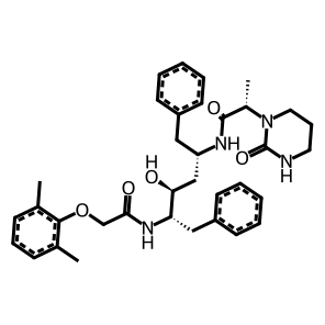 Cc1cccc(C)c1OCC(=O)N[C@@H](Cc1ccccc1)[C@@H](O)C[C@H](Cc1ccccc1)NC(=O)[C@H](C)N1CCCNC1=O